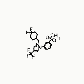 CS(=O)(=O)c1cccc(N2C=C(C(F)(F)F)CN2CC2CCC(F)(F)CC2)c1